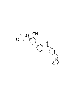 N#Cc1cc(-c2nccc(Nc3ccc(Cn4ccnc4)cc3)n2)ccc1OC1CCOCC1